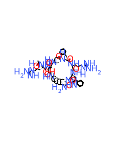 CC(=O)N[C@@H](CCCNC(=N)N)C(O)N[C@H]1CC(=O)NCCCC[C@@H](C(N)=O)NC(=O)[C@H](Cc2c[nH]c3ccccc23)NC(=O)[C@H](CCCNC(=N)N)NC(=O)[C@@H](Cc2ccccc2)NC(=O)CNC1=O